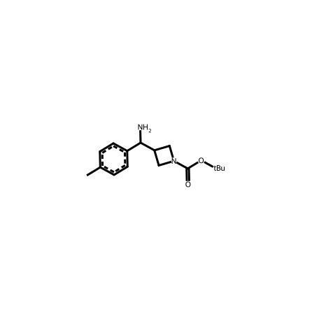 Cc1ccc(C(N)C2CN(C(=O)OC(C)(C)C)C2)cc1